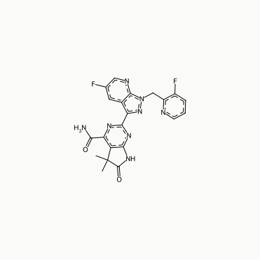 CC1(C)C(=O)Nc2nc(-c3nn(Cc4ncccc4F)c4ncc(F)cc34)nc(C(N)=O)c21